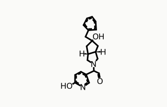 O=CC(c1ccc(O)nc1)N1C[C@@H]2C[C@](O)(Cc3ccccc3)C[C@@H]2C1